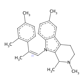 C/C(=C/n1c2c(c3cc(C)ccc31)CCN(C)C2C)c1ccc(C)cc1C